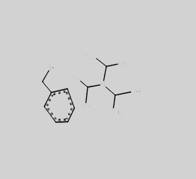 BrCc1ccccc1.CC(O)N(C(C)O)C(C)O